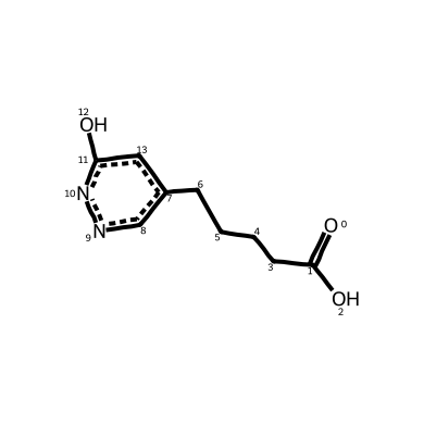 O=C(O)CCCCc1cnnc(O)c1